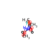 CCOP(=O)(OCC)C(F)(F)c1ccc(CC(N)(C(=O)NCCCCOc2ccccc2C(=O)OC)C(=O)OCc2ccccc2)cc1